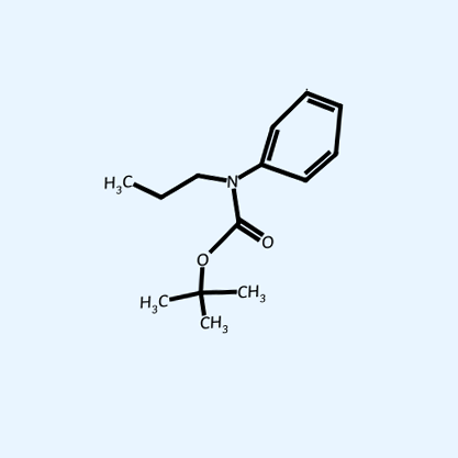 CCCN(C(=O)OC(C)(C)C)c1c[c]ccc1